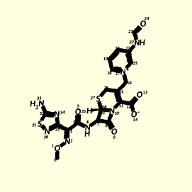 CON=C(C(=O)NC1C(=O)N2C(C(=O)[O-])=C(C[n+]3cccc(NC=O)c3)CS[C@@H]12)c1nsc(N)n1